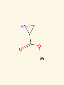 CC(C)OC(=O)C1CN1